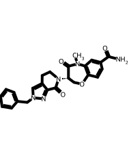 CN1C(=O)[C@@H](N2CCc3cn(Cc4ccccc4)nc3C2=O)COc2ccc(C(N)=O)cc21